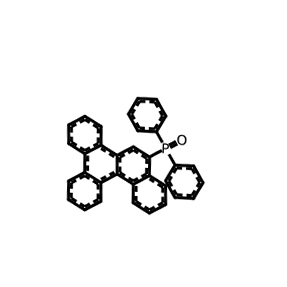 O=P(c1ccccc1)(c1ccccc1)c1cc2c3ccccc3c3ccccc3c2c2ccccc12